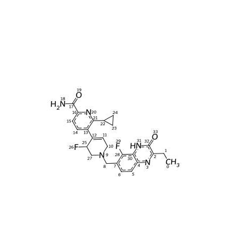 CCc1nc2ccc(CN3CC=C(c4ccc(C(N)=O)nc4C4CC4)C(F)C3)c(F)c2[nH]c1=O